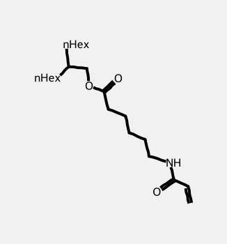 C=CC(=O)NCCCCCC(=O)OCC(CCCCCC)CCCCCC